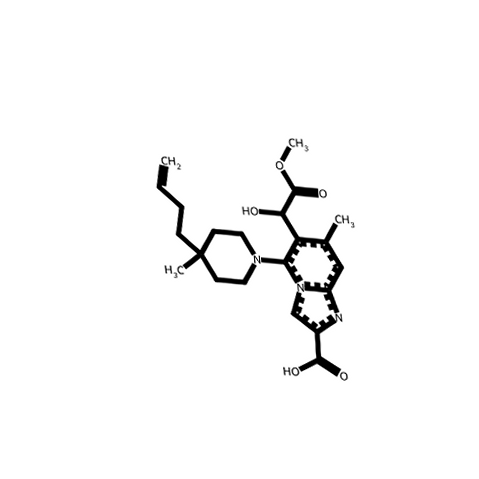 C=CCCC1(C)CCN(c2c(C(O)C(=O)OC)c(C)cc3nc(C(=O)O)cn23)CC1